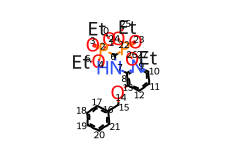 CCOP(=O)(OCC)C(Nc1ncccc1OCc1ccccc1)P(=O)(OCC)OCC